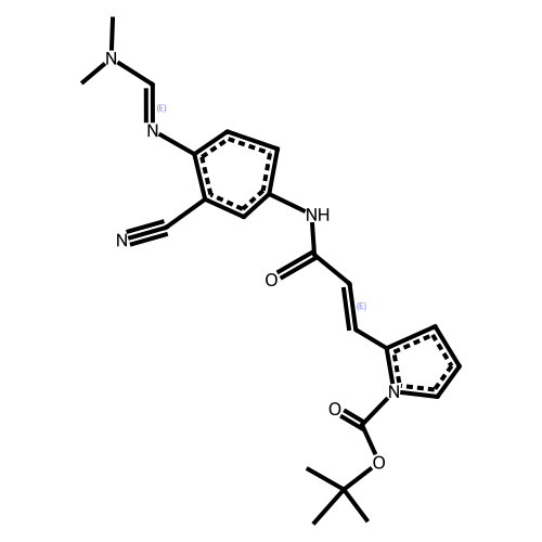 CN(C)/C=N/c1ccc(NC(=O)/C=C/c2cccn2C(=O)OC(C)(C)C)cc1C#N